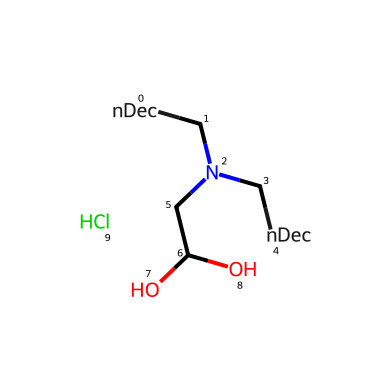 CCCCCCCCCCCN(CCCCCCCCCCC)CC(O)O.Cl